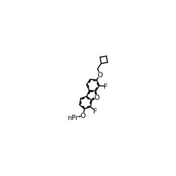 CCCOc1ccc2c(oc3c(F)c(OCC4CCC4)ccc32)c1F